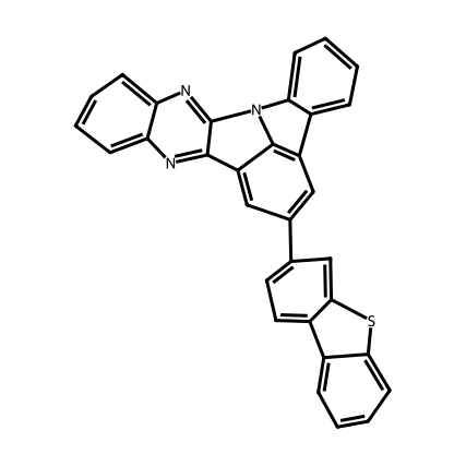 c1ccc2nc3c(nc2c1)c1cc(-c2ccc4c(c2)sc2ccccc24)cc2c4ccccc4n3c21